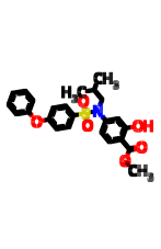 COC(=O)c1ccc(N(CC(C)C)S(=O)(=O)c2ccc(Oc3ccccc3)cc2)cc1O